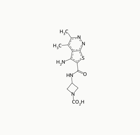 Cc1nnc2sc(C(=O)NC3CN(C(=O)O)C3)c(N)c2c1C